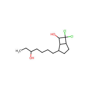 CCC(O)CCCCC1CCC2C1C(O)C2(Cl)Cl